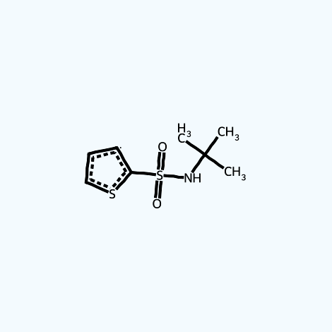 CC(C)(C)NS(=O)(=O)c1[c]ccs1